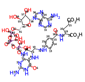 Nc1nc2c(c(=O)[nH]1)NC(CNc1ccc(C(=O)NC(CCC(=O)O)C(=O)O)cc1)CN2.Nc1ncnc2c1ncn2[C@@H]1O[C@H](COP(=O)(O)OP(=O)(O)OP(=O)(O)O)[C@@H](O)[C@H]1O